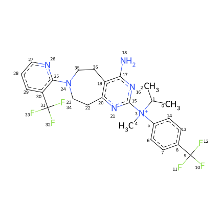 CC(C)[N+](C)(c1ccc(C(F)(F)F)cc1)c1nc(N)c2c(n1)CCN(c1ncccc1C(F)(F)F)CC2